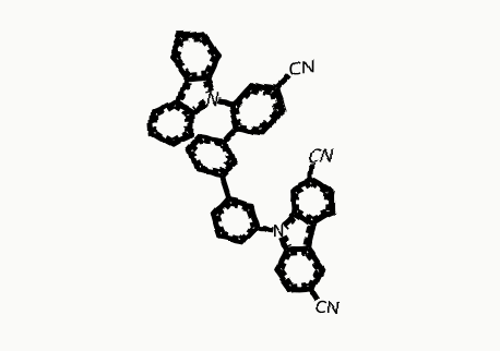 N#Cc1ccc(-c2cccc(-c3cccc(-n4c5ccc(C#N)cc5c5ccc(C#N)cc54)c3)c2)c(-n2c3ccccc3c3ccccc32)c1